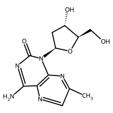 Cc1cnc2c(N)nc(=O)n([C@H]3C[C@H](O)[C@@H](CO)O3)c2n1